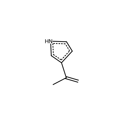 C=C(C)c1cc[nH]c1